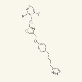 Fc1cccc(F)c1/C=C/c1nc(COc2ccc(CCCCn3ccnn3)cc2)co1